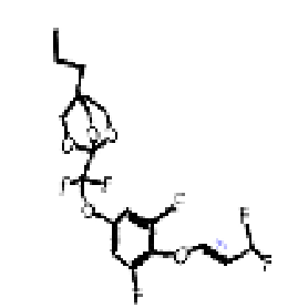 CCCC12COC(C(F)(F)Oc3cc(F)c(O/C=C/C(F)F)c(F)c3)(OC1)OC2